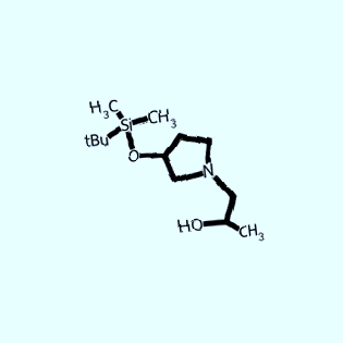 CC(O)CN1CCC(O[Si](C)(C)C(C)(C)C)C1